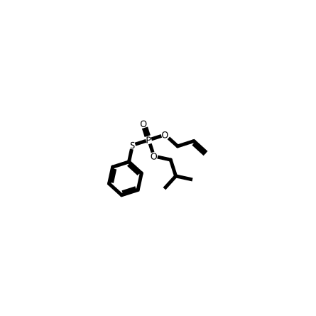 C=CCOP(=O)(OCC(C)C)Sc1ccccc1